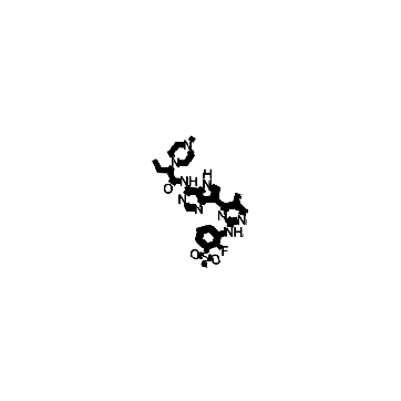 CCC(C(=O)Nc1ncnc2c(-c3nc(Nc4cccc(S(C)(=O)=O)c4F)ncc3C)c[nH]c12)N1CCN(C)CC1